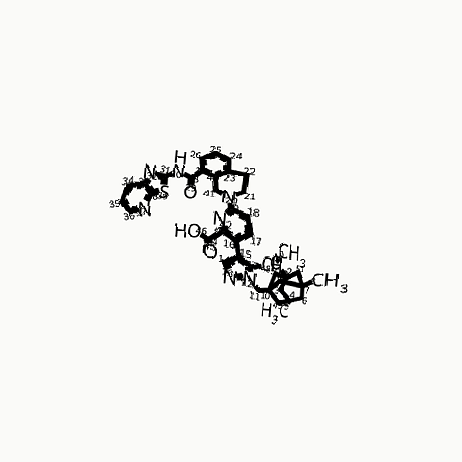 COC12CC3(C)CC(C)(CC(Cn4ncc(-c5ccc(N6CCc7cccc(C(=O)Nc8nc9cccnc9s8)c7C6)nc5C(=O)O)c4C)(C3)C1)C2